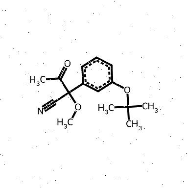 COC(C#N)(C(C)=O)c1cccc(OC(C)(C)C)c1